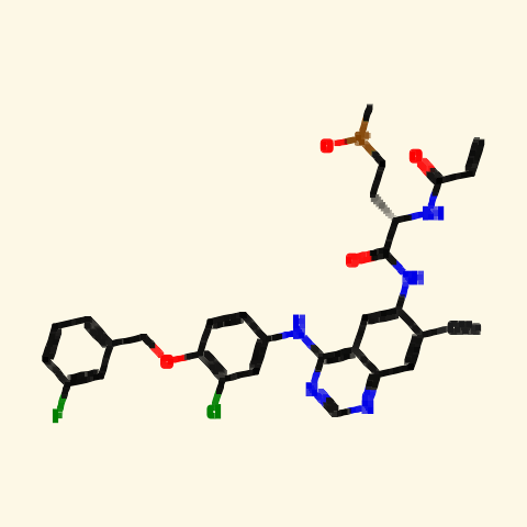 C=CC(=O)N[C@@H](CC[S+](C)[O-])C(=O)Nc1cc2c(Nc3ccc(OCc4cccc(F)c4)c(Cl)c3)ncnc2cc1OC